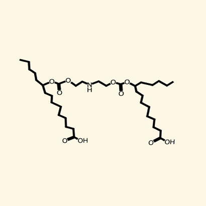 CCCCCC(CCCCCCCCC(=O)O)OC(=O)OCCNCCOC(=O)OC(CCCCC)CCCCCCCCC(=O)O